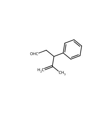 C=C(C)C(CC=O)c1ccccc1